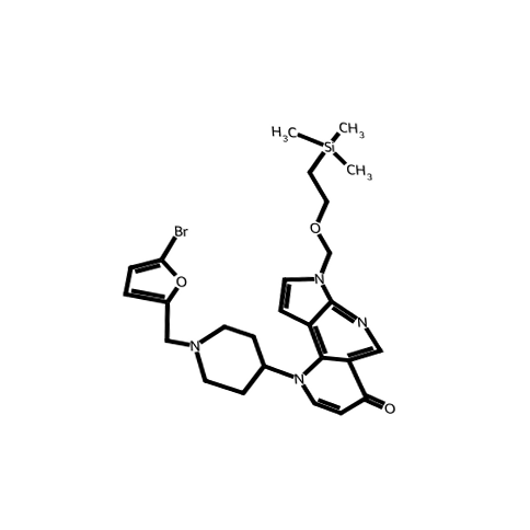 C[Si](C)(C)CCOCn1ccc2c1ncc1c(=O)ccn(C3CCN(Cc4ccc(Br)o4)CC3)c12